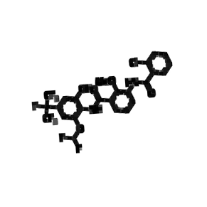 COc1c(NC(=O)c2ccccc2Cl)cccc1C(=O)Nc1c(O)cc(C(F)(C(F)(F)F)C(F)(F)F)cc1OC(F)F